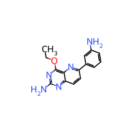 CCOc1nc(N)nc2ccc(-c3cccc(N)c3)nc12